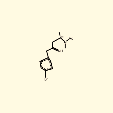 CC(=O)N(C)[C@H](C)CC(=N)Cc1ccc(Br)cc1